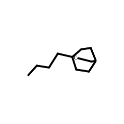 CCC[CH]C12CCC(CC1)CC2